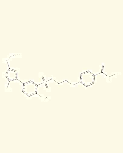 CCCCCNc1nc(C)c(-c2ccc(OC)c(S(=O)(=O)NCCOc3ccc(C(=O)NO)cc3)c2)s1